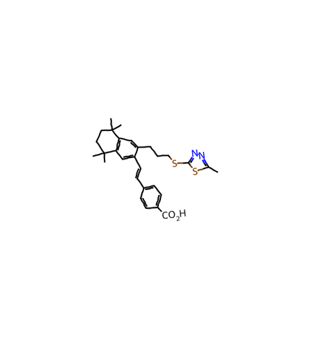 Cc1nnc(SCCCc2cc3c(cc2C=Cc2ccc(C(=O)O)cc2)C(C)(C)CCC3(C)C)s1